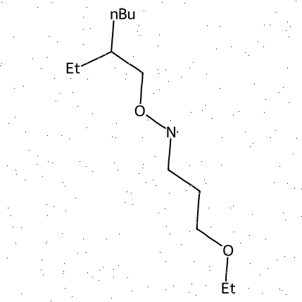 CCCCC(CC)CO[N]CCCOCC